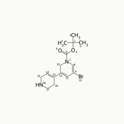 CC(C)(C)OC(=O)N1C=C(Br)C=C(C2=CCNCC2)C1